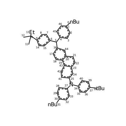 CCCCc1ccc(C(c2ccc(C(C)(C)CC)cc2)c2ccc3c(ccc4cc(N(c5ccc(CCCC)cc5)c5ccc(C(C)(C)C)cc5)ccc43)c2)cc1